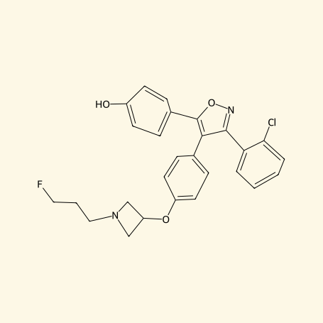 Oc1ccc(-c2onc(-c3ccccc3Cl)c2-c2ccc(OC3CN(CCCF)C3)cc2)cc1